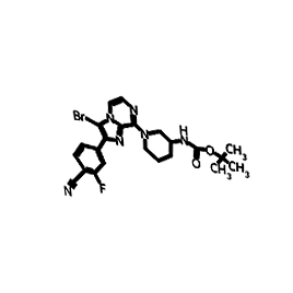 CC(C)(C)OC(=O)NC1CCCN(c2nccn3c(Br)c(-c4ccc(C#N)c(F)c4)nc23)C1